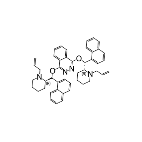 C=CCN1CCCC[C@@H]1C(Oc1nnc(OC(c2cccc3ccccc23)[C@H]2CCCCN2CC=C)c2ccccc12)c1cccc2ccccc12